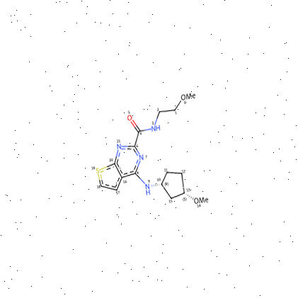 COCCNC(=O)c1nc(N[C@@H]2CC[C@H](OC)C2)c2ccsc2n1